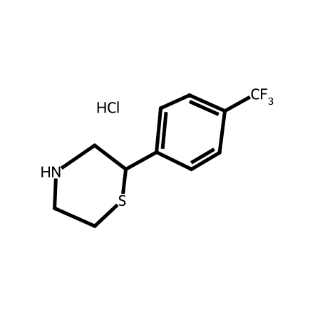 Cl.FC(F)(F)c1ccc(C2CNCCS2)cc1